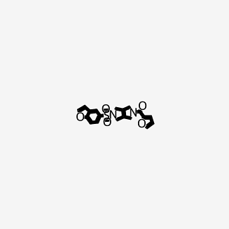 O=C(c1ccco1)N1CC2=C(C1)CN(S(=O)(=O)c1ccc3occc3c1)C2